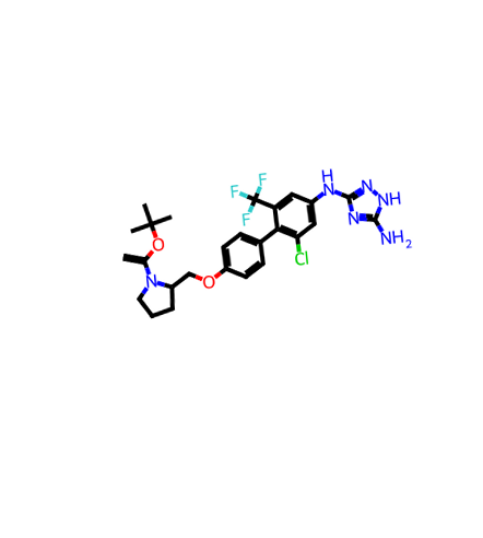 C=C(OC(C)(C)C)N1CCCC1COc1ccc(-c2c(Cl)cc(Nc3n[nH]c(N)n3)cc2C(F)(F)F)cc1